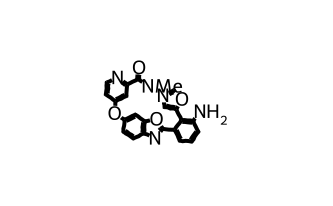 CNC(=O)c1cc(Oc2ccc3nc(-c4cccc(N)c4-c4cnco4)oc3c2)ccn1